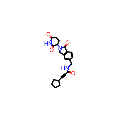 O=C(C#CC1CCCC1)NCc1ccc2c(c1)CN(C1CCC(=O)NC1=O)C2=O